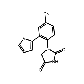 N#Cc1ccc(N2CC(=O)NC2=O)c(-c2cccs2)c1